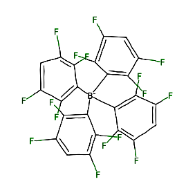 Fc1cc(F)c(F)c([B-](c2c(F)c(F)cc(F)c2F)(c2c(F)c(F)cc(F)c2F)c2c(F)c(F)cc(F)c2F)c1F